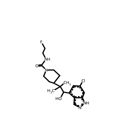 CC(C)(C1CCN(C(=O)NCCF)CC1)C(O)c1cc(Cl)cc2[nH]ncc12